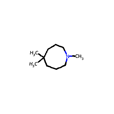 CN1CCCC(C)(C)CCC1